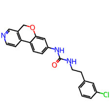 O=C(NCCc1cccc(Cl)c1)Nc1ccc2c(c1)OCc1cnccc1-2